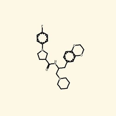 O=C(NC(Cc1ccc2c(c1)OCCO2)CN1CCCCC1)C1CCN(c2ccc(F)cc2)C1